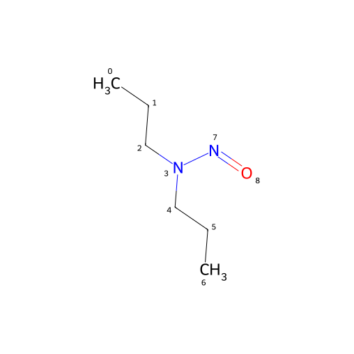 CCCN(CCC)N=O